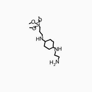 CO[Si](CCCNC1CCC(NCCN)CC1)(OC)OC